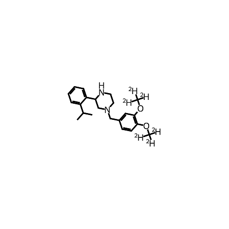 [2H]C([2H])([2H])Oc1ccc(CN2CCNC(c3ccccc3C(C)C)C2)cc1OC([2H])([2H])[2H]